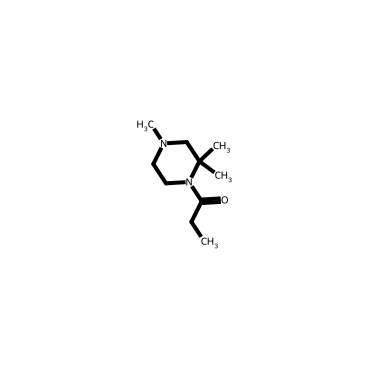 CCC(=O)N1CCN(C)CC1(C)C